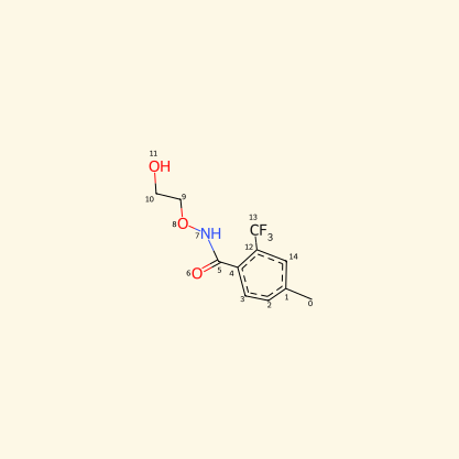 Cc1ccc(C(=O)NOCCO)c(C(F)(F)F)c1